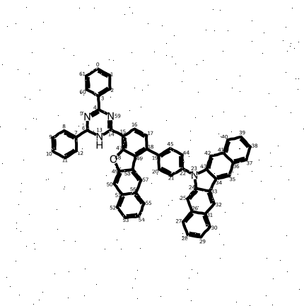 c1ccc(C2=NC(c3ccccc3)NC(c3ccc(-c4ccc(-n5c6cc7ccccc7cc6c6cc7ccccc7cc65)cc4)c4c3oc3cc5ccccc5cc34)=N2)cc1